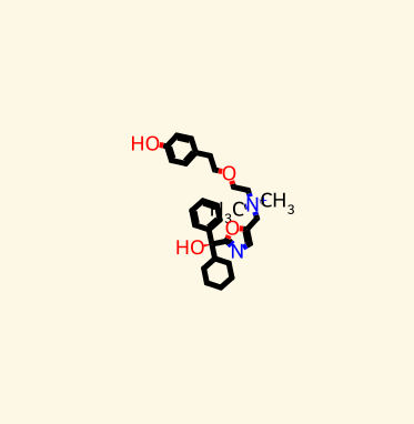 C[N+](C)(CCOCCc1ccc(O)cc1)Cc1cnc([C@](O)(c2ccccc2)C2CCCCC2)o1